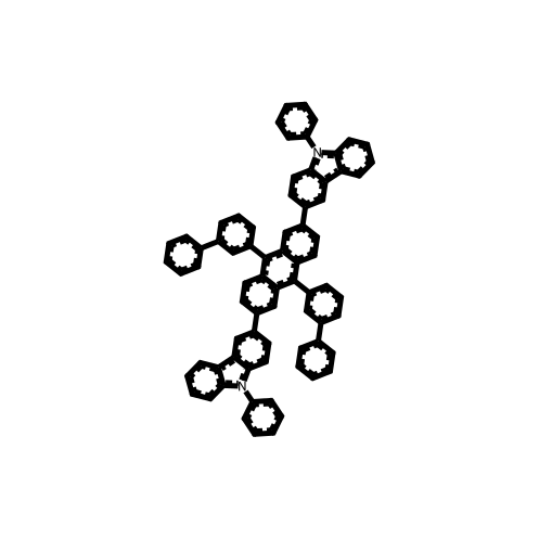 c1ccc(-c2cccc(-c3c4ccc(-c5ccc6c(c5)c5ccccc5n6-c5ccccc5)cc4c(-c4cccc(-c5ccccc5)c4)c4ccc(-c5ccc6c(c5)c5ccccc5n6-c5ccccc5)cc34)c2)cc1